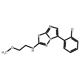 COCCNc1nn2c(-c3ccccc3Cl)cnc2s1